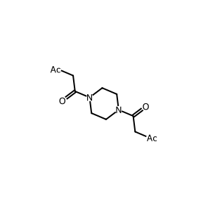 CC(=O)CC(=O)N1CCN(C(=O)CC(C)=O)CC1